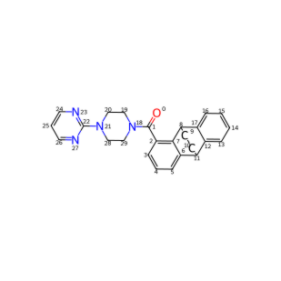 O=C(c1cccc2c1C1CCC2c2ccccc21)N1CCN(c2ncccn2)CC1